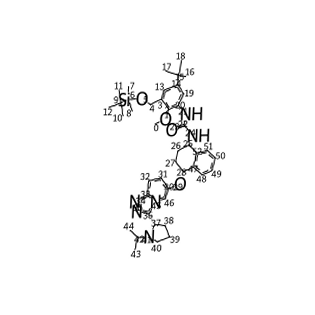 COc1c(CO[Si](C)(C)C(C)(C)C)cc(C(C)(C)C)cc1NC(=O)N[C@H]1CC[C@@H](Oc2ccc3nnc([C@@H]4CCCN4C(C)C)n3c2)c2ccccc21